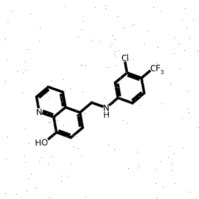 Oc1ccc(CNc2ccc(C(F)(F)F)c(Cl)c2)c2cccnc12